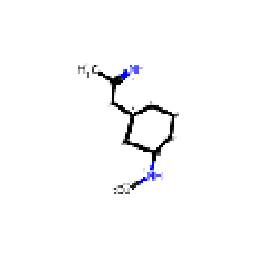 CC(=N)CC1CCCC(NC(C)(C)C)C1